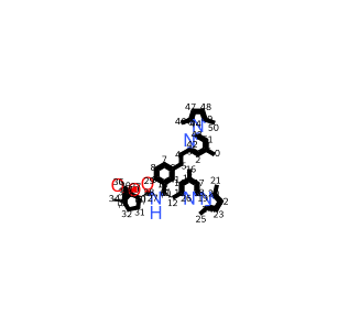 Cc1cc(CCc2cccc([C@H](Cc3cc(C)cc(-n4c(C)ccc4C)n3)NC(=O)[C@@]34CC[C@](C)(C(=O)O3)C4(C)C)c2)nc(-n2c(C)ccc2C)c1